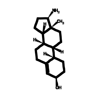 C[C@]12CC[C@H]3[C@@H](CCC4=C[C@H](O)CC[C@@H]43)[C@@H]1CC[C@@H]2N